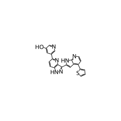 Oc1cncc(-c2ccc3[nH]nc(-c4cc5c(-c6cccs6)ccnc5[nH]4)c3n2)c1